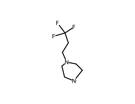 FC(F)(F)CCN1CC[N]CC1